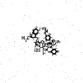 CC[C@H](C)[C@@H](C(=O)N[C@@H](Cc1ccccc1)[C@H](O)CN(CC(C)C)S(=O)(=O)c1ccc(/C=N/O)cc1)n1ccn(Cc2cc(C)nc3ccccc23)c1=O